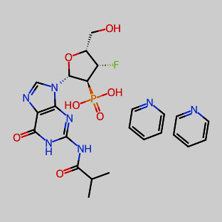 CC(C)C(=O)Nc1nc2c(ncn2[C@@H]2O[C@H](CO)[C@H](F)[C@H]2P(=O)(O)O)c(=O)[nH]1.c1ccncc1.c1ccncc1